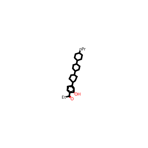 CCCC1CCC(C2CCC(C3CCC(c4ccc(C(=O)CC)c(O)c4)CC3)CC2)CC1